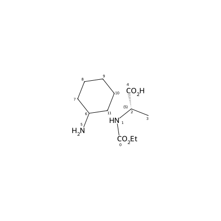 CCOC(=O)N[C@@H](C)C(=O)O.NC1CCCCC1